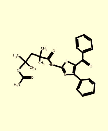 CC(C)(CC(C)(C)C(=O)Nc1nc(-c2ccccc2)c(C(=O)c2ccccc2)s1)OC(N)=O